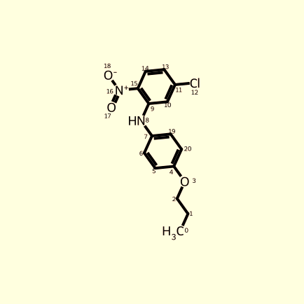 CCCOc1ccc(Nc2cc(Cl)ccc2[N+](=O)[O-])cc1